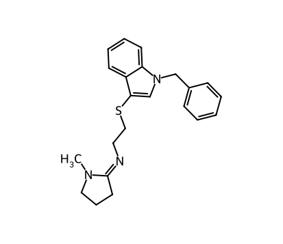 CN1CCCC1=NCCSc1cn(Cc2ccccc2)c2ccccc12